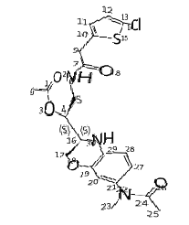 CC(=O)O[C@@H](CNC(=O)Cc1ccc(Cl)s1)[C@@H]1COc2cc(N(C)C(C)=O)ccc2N1